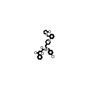 O=C(N[C@H](C=C1CCN(c2ccccc2CN2CCCC2=O)CC1)Cc1ccc(Cl)cc1)c1cc(=O)c2ccccc2o1